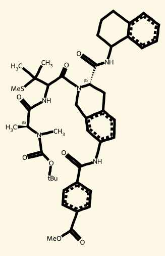 COC(=O)c1ccc(C(=O)Nc2ccc3c(c2)CN(C(=O)C(NC(=O)[C@H](C)N(C)C(=O)OC(C)(C)C)C(C)(C)SC)[C@H](C(=O)NC2CCCc4ccccc42)C3)cc1